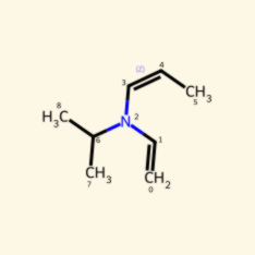 C=CN(/C=C\C)C(C)C